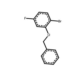 Fc1ccc(Br)c(OCc2ccccc2)c1